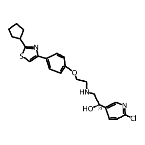 O[C@@H](CNCCOc1ccc(-c2csc(C3CCCC3)n2)cc1)c1ccc(Cl)nc1